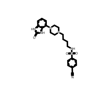 N#Cc1ccc(S(=O)(=O)NCCCCN2CCN(c3cccc4[nH]c(=O)[nH]c34)CC2)cc1